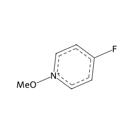 CO[n+]1ccc(F)cc1